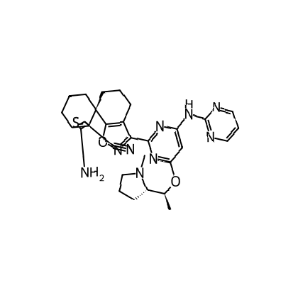 C[C@H](Oc1cc(Nc2ncccn2)nc(-c2noc3c2CCC[C@@]32CCCc3sc(N)c(C#N)c32)n1)[C@@H]1CCCN1C